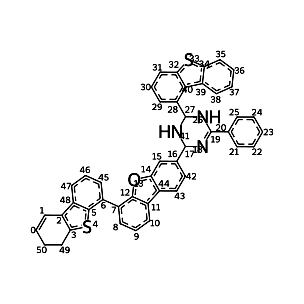 C1=Cc2c(sc3c(-c4cccc5c4oc4cc(C6N=C(c7ccccc7)NC(c7cccc8sc9ccccc9c78)N6)ccc45)cccc23)CC1